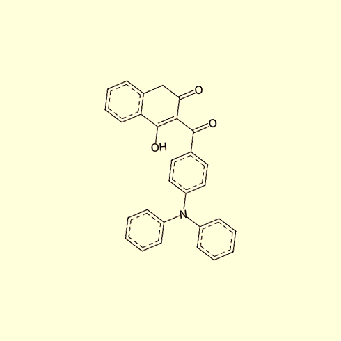 O=C1Cc2ccccc2C(O)=C1C(=O)c1ccc(N(c2ccccc2)c2ccccc2)cc1